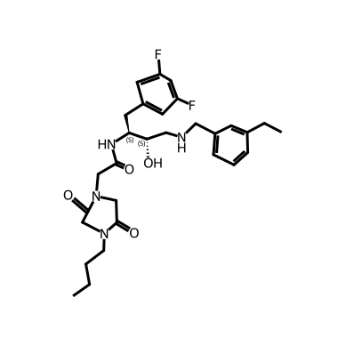 CCCCN1CC(=O)N(CC(=O)N[C@@H](Cc2cc(F)cc(F)c2)[C@@H](O)CNCc2cccc(CC)c2)CC1=O